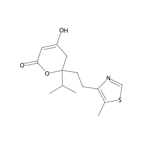 Cc1scnc1CCC1(C(C)C)CC(O)=CC(=O)O1